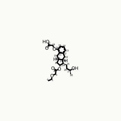 CCOCC(=O)O[C@@H]1C[C@@H]2Cc3c(cccc3OCC(=O)O)C[C@@H]2[C@H]1CC[C@H](C)O